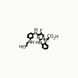 O=C(O)/C=N/c1ccccc1Nc1ncc(F)c(Nc2cccc(NCCO)c2)n1